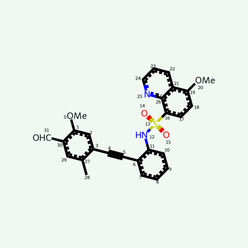 COc1cc(C#Cc2ccccc2NS(=O)(=O)c2ccc(OC)c3cccnc23)c(C)cc1C=O